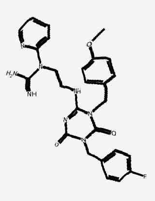 COc1ccc(Cn2c(NCCN(C(=N)N)c3ccccn3)nc(=O)n(Cc3ccc(F)cc3)c2=O)cc1